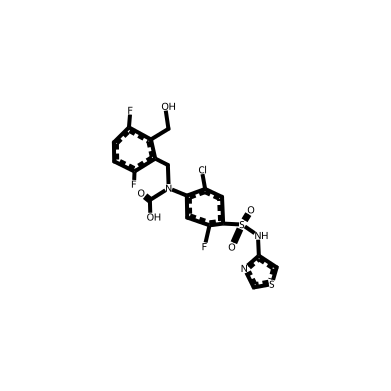 O=C(O)N(Cc1c(F)ccc(F)c1CO)c1cc(F)c(S(=O)(=O)Nc2cscn2)cc1Cl